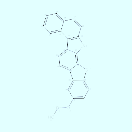 OBOc1ccc2sc3c(ccc4c3sc3ccc5ccccc5c34)c2c1